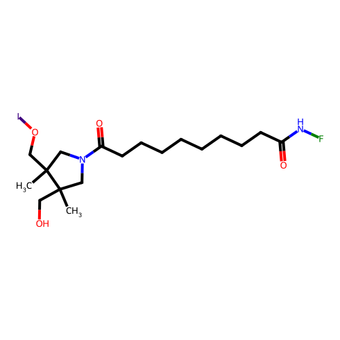 CC1(CO)CN(C(=O)CCCCCCCCC(=O)NF)CC1(C)COI